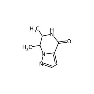 CC1NC(=O)c2ccnn2C1C